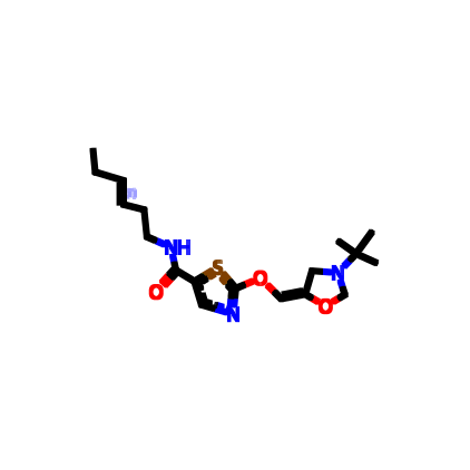 CC/C=C/CCNC(=O)c1cnc(OC=C2CN(C(C)(C)C)CO2)s1